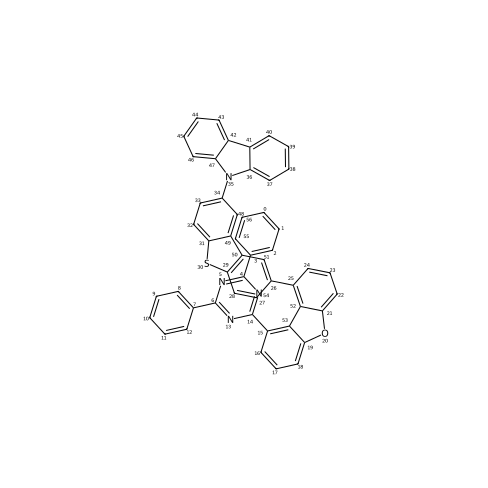 c1ccc(-c2nc(-c3ccccc3)nc(-c3cccc4oc5cccc(-c6ccc7sc8ccc(-n9c%10ccccc%10c%10ccccc%109)cc8c7c6)c5c34)n2)cc1